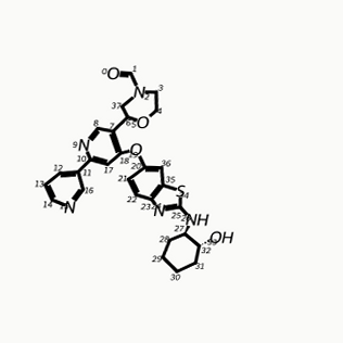 O=CN1CCOC(c2cnc(-c3cccnc3)cc2Oc2ccc3nc(N[C@@H]4CCCC[C@H]4O)sc3c2)C1